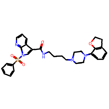 O=C(NCCCCN1CCN(c2cccc3c2OCC3)CC1)c1cn(S(=O)(=O)c2ccccc2)c2ncccc12